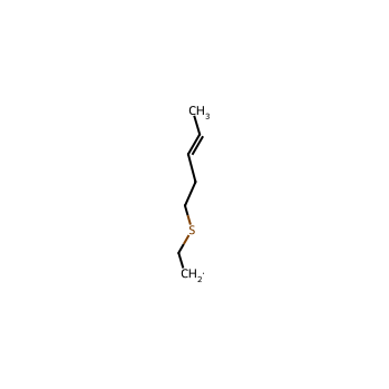 [CH2]CSCCC=CC